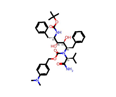 CC(C)[C@@H](C(N)=O)N(C(=O)OCc1ccc(N(C)C)cc1)[C@H](Cc1ccccc1)[C@H](O)[C@H](O)[C@H](Cc1ccccc1)NC(=O)OC(C)(C)C